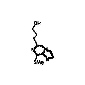 CSc1nc(CCCO)cn2ccnc12